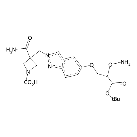 CC(C)(C)OC(=O)C(COc1ccc2nn(CC3(C(N)=O)CN(C(=O)O)C3)cc2c1)ON